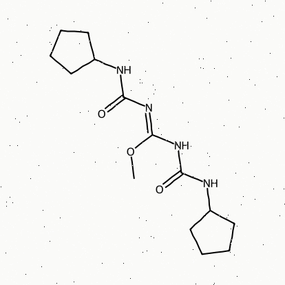 COC(=NC(=O)NC1CCCC1)NC(=O)NC1CCCC1